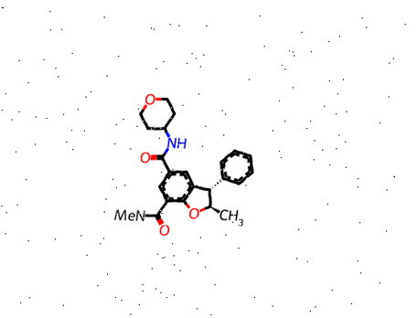 CNC(=O)c1cc(C(=O)NC2CCOCC2)cc2c1O[C@H](C)[C@H]2c1ccccc1